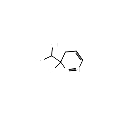 CC(C)C1(C)CC=CN=N1